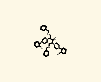 O=C(C(COCc1ccccc1)N1CCN(c2ccccc2Cl)CC1)C(COCc1ccccc1)N1CCN(c2ccccc2Cl)CC1